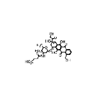 CC1O[C@@H](O[C@H]2C[C@](O)(C(=O)CO)Cc3c(O)c4c(c(O)c32)C(=O)c2c(CO)cccc2C4=O)C[C@@H](NC(=O)CCC(=O)O)[C@@H]1O